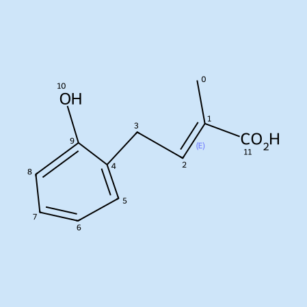 C/C(=C\Cc1ccccc1O)C(=O)O